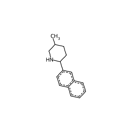 CC1CCC(c2ccc3ccccc3c2)NC1